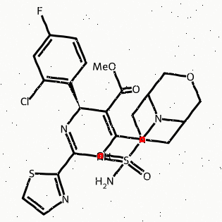 COC(=O)C1=C(CN2C3COCC2CN(S(N)(=O)=O)C3)NC(c2nccs2)=N[C@H]1c1ccc(F)cc1Cl